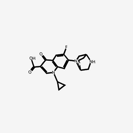 O=C(O)c1cn(C2CC2)c2cc(N3CC4CCCC3CN4)c(F)cc2c1=O